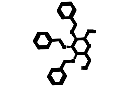 CO[C@H]1OC(CO)[C@H](OCc2ccccc2)[C@H](OCc2ccccc2)[C@H]1OCc1ccccc1